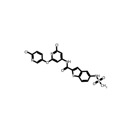 CS(=O)(=O)Nc1ccc2sc(C(=O)Nc3cc(Cl)nc(Oc4ccc(Cl)nc4)c3)cc2c1